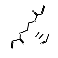 C=CC(=O)OCCOC(=O)C=C.[CH2][CH2].[CH2][CH2].[CH2][C]=O